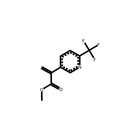 C=C(C(=O)OC)c1ccc(C(F)(F)F)nc1